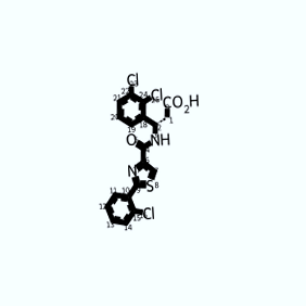 O=C(O)C[C@H](NC(=O)c1csc(-c2ccccc2Cl)n1)c1cccc(Cl)c1Cl